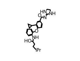 CC(C)CCC(O)Nc1ccccc1Oc1ccc(C(=O)N=C2NCCN2)cc1C1CC1